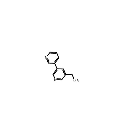 BCc1cncc(-c2cccnc2)c1